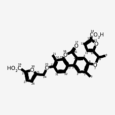 Cc1cc2c(cc1OC(C)c1ccc(C(=O)O)o1)c(=O)oc1c(C)c(OCc3ccc(C(=O)O)o3)ccc12